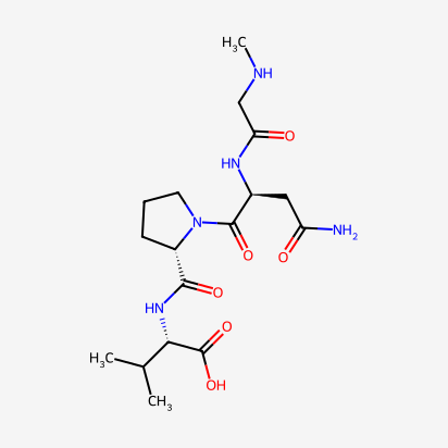 CNCC(=O)N[C@@H](CC(N)=O)C(=O)N1CCC[C@H]1C(=O)N[C@H](C(=O)O)C(C)C